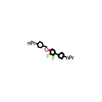 CCCc1ccc(-c2ccc(OCC3CCC(CCC)CC3)c(F)c2F)cc1